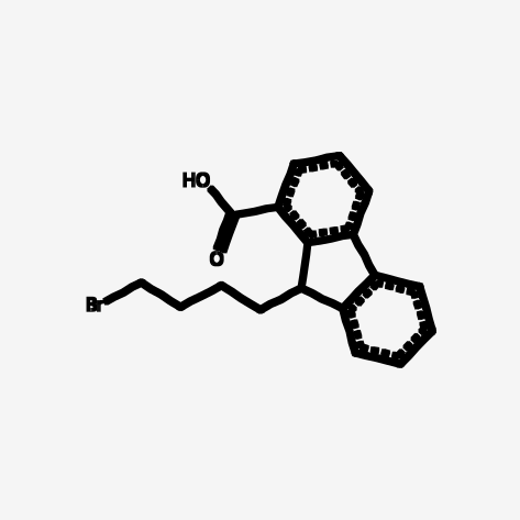 O=C(O)c1cccc2c1C(CCCCBr)c1ccccc1-2